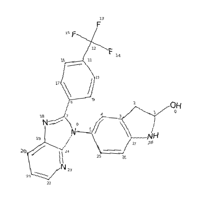 OC1Cc2cc(-n3c(-c4ccc(C(F)(F)F)cc4)nc4cccnc43)ccc2N1